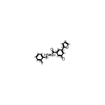 O=C(NNSc1ccccc1F)c1cc(Cl)cc(-c2ccco2)c1